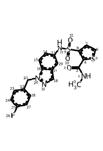 CNC(=O)c1sccc1S(=O)(=O)Nc1ccc2c(cnn2Cc2ccc(F)cc2)c1